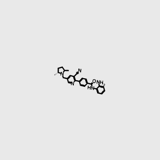 CC1CC[C@@H](C)N1Cc1cnc(-c2ccc(C(=O)Nc3ccccc3N)cc2)c(C#N)c1